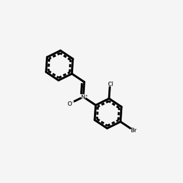 [O-][N+](=Cc1ccccc1)c1ccc(Br)cc1Cl